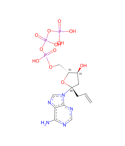 C=CC[C@]1(n2cnc3c(N)ncnc32)C[C@H](O)[C@@H](COP(=O)(O)OP(=O)(O)OP(=O)(O)O)O1